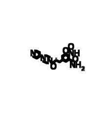 NC(=O)c1cc(C[CH]C(=O)N2CCN(c3ccncc3)CC2)cc2oc(=O)[nH]c12